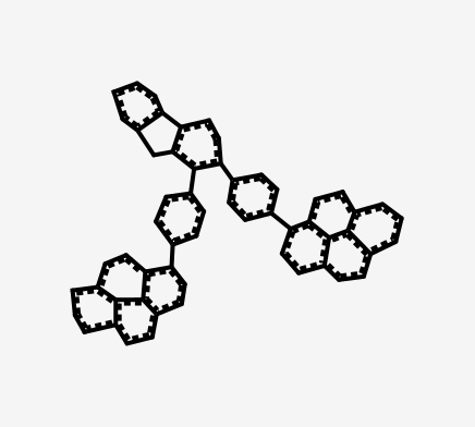 c1ccc2c(c1)Cc1c-2ccc(-c2ccc(-c3ccc4ccc5cccc6ccc3c4c56)cc2)c1-c1ccc(-c2ccc3ccc4cccc5ccc2c3c45)cc1